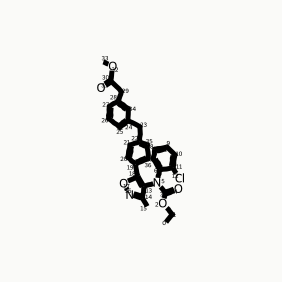 CCOC(=O)N(c1ccccc1Cl)c1c(C)noc1-c1ccc(Cc2cccc(CC(=O)OC)c2)cc1